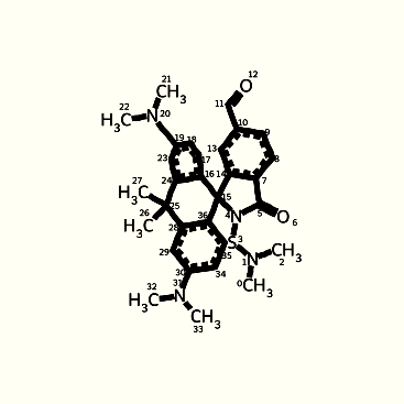 CN(C)SN1C(=O)c2ccc(C=O)cc2C12c1ccc(N(C)C)cc1C(C)(C)c1cc(N(C)C)ccc12